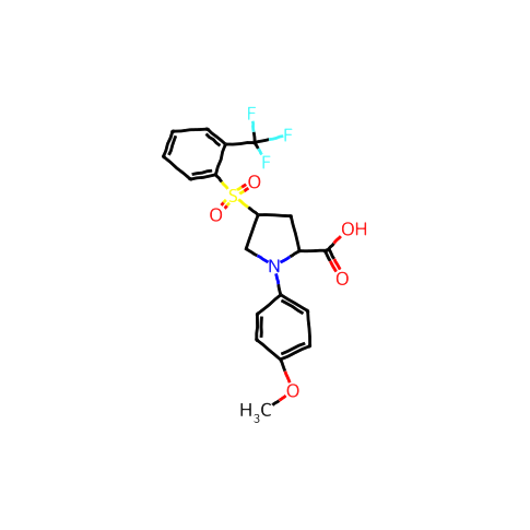 COc1ccc(N2CC(S(=O)(=O)c3ccccc3C(F)(F)F)CC2C(=O)O)cc1